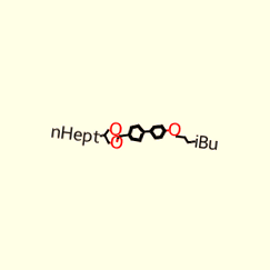 CCCCCCCC1COC(c2ccc(-c3ccc(OCCCC(C)CC)cc3)cc2)OC1